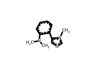 CN(C)c1ccccc1-c1cncn1C